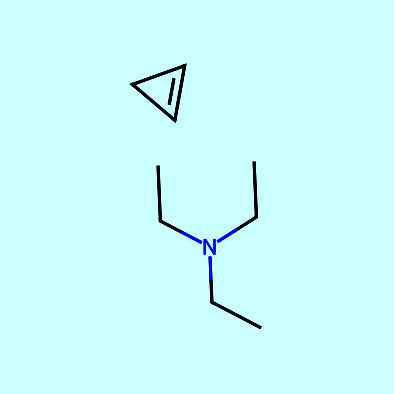 C1=CC1.CCN(CC)CC